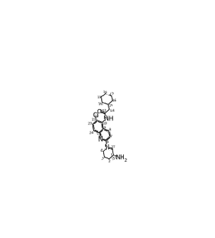 N[C@H]1CCCN(c2ccc3c(NC(=O)CC4CCCCC4)c(Cl)ccc3n2)C1